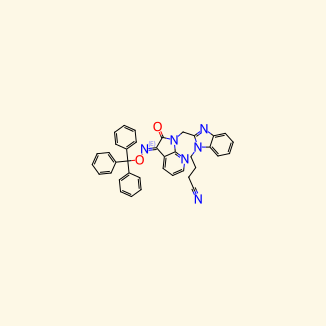 N#CCCCn1c(CN2C(=O)/C(=N/OC(c3ccccc3)(c3ccccc3)c3ccccc3)c3cccnc32)nc2ccccc21